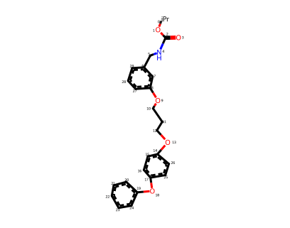 CC(C)OC(=O)NCc1[c]c(OCCCOc2ccc(Oc3ccccc3)cc2)ccc1